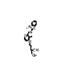 Cc1c(OCCCC(O)CO)ccnc1CSc1nc2ccccc2[nH]1